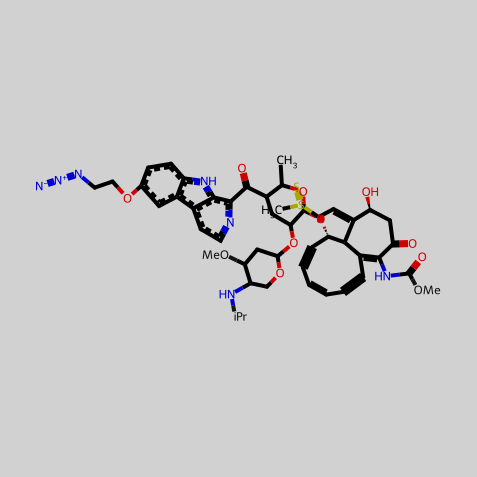 COC(=O)NC1=C2C#C/C=C\C#C[C@H](OC3OC(C)C(C(=O)c4nccc5c4[nH]c4ccc(OCCN=[N+]=[N-])cc45)CC3OC3CC(OC)C(NC(C)C)CO3)C2/C(=C\CS(C)=S)[C@@H](O)CC1=O